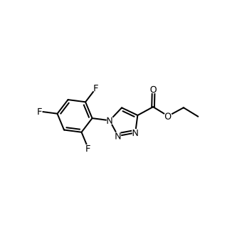 CCOC(=O)c1cn(-c2c(F)cc(F)cc2F)nn1